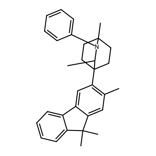 Cc1cc2c(cc1C13CCC(C)(CC1)N(c1ccccc1)C3C)-c1ccccc1C2(C)C